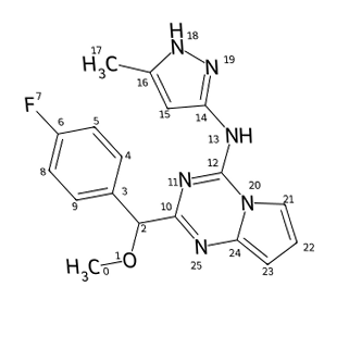 COC(c1ccc(F)cc1)c1nc(Nc2cc(C)[nH]n2)n2cccc2n1